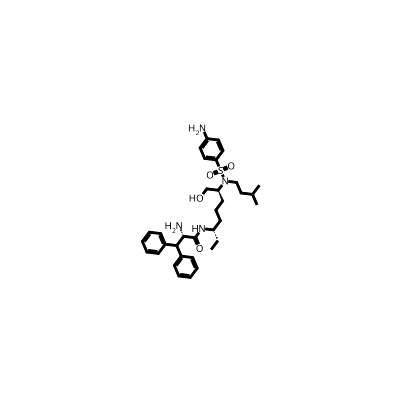 CC[C@@H](CCC[C@@H](CO)N(CCC(C)C)S(=O)(=O)c1ccc(N)cc1)NC(=O)[C@@H](N)C(c1ccccc1)c1ccccc1